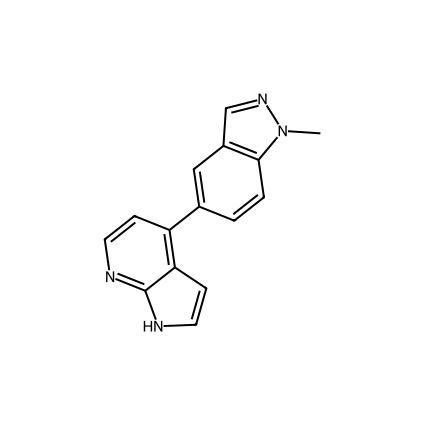 Cn1ncc2cc(-c3ccnc4[nH]ccc34)ccc21